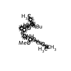 COc1cc(Nc2cc(Oc3ccc(NC(=O)Nc4cc(C(C)(C)C)nn4-c4ccc(C)cc4)c4ccccc34)ccn2)cc(OCCOCCOCCN(C)C)c1